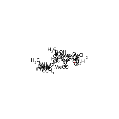 C=CCOC(=O)N[C@H](C(=O)N[C@@H](C)C(=O)Nc1ccc(COC(=O)Nc2cc(OCc3cc(C(=O)OC)cc(COc4cc5c(cc4OC)C(=O)N4CC(=C)C[C@H]4[C@H](OC4CCCCO4)N5C(=O)O)n3)c(OC)cc2C(=O)N2CC(=C)C[C@H]2CO)cc1)C(C)C